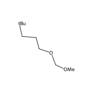 COCOCCCC(C)(C)C